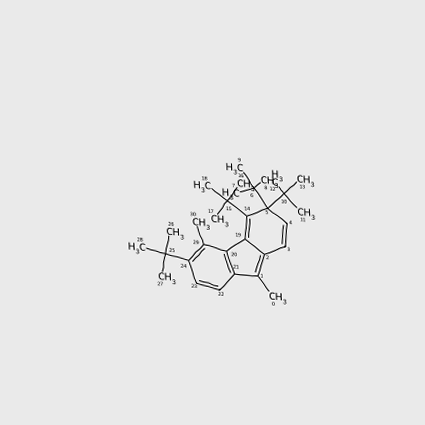 CC1=C2C=CC(C(C)(C)C)(C(C)(C)C)C(C(C)(C)C)=C2c2c1ccc(C(C)(C)C)c2C